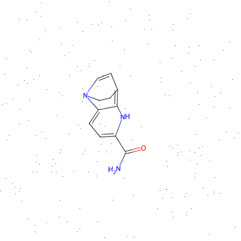 NC(=O)C1=CC=C2C(=C3C=CN2CC3)N1